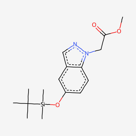 COC(=O)Cn1ncc2cc(O[Si](C)(C)C(C)(C)C)ccc21